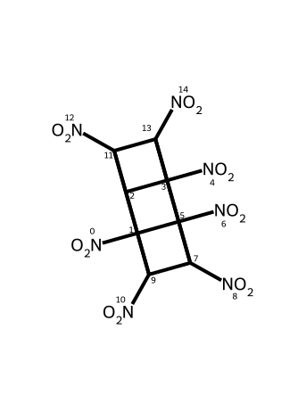 O=[N+]([O-])C12C3C4([N+](=O)[O-])C1([N+](=O)[O-])C1([N+](=O)[O-])C2([N+](=O)[O-])C3([N+](=O)[O-])C41[N+](=O)[O-]